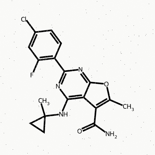 Cc1oc2nc(-c3ccc(Cl)cc3F)nc(NC3(C)CC3)c2c1C(N)=O